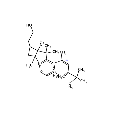 C=C(/C=C(/C)c1c(C)cc[n+]2c1C(C)(C)C1(C)C(CCO)CC21C)C(C)(C)C